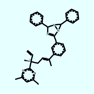 C=C[C@](C)(C/C=C(\C)c1cccc(C2=NC(c3ccccc3)N3C(c4ccccc4)N23)c1)c1nc(C)cc(C)n1